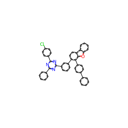 Clc1ccc(-c2nc(-c3ccccc3)nc(-c3cccc(-c4ccc5c(oc6ccccc65)c4-c4ccc(-c5ccccc5)cc4)c3)n2)cc1